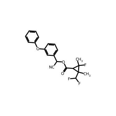 CC1(F)C(C(=O)OC(C#N)c2cccc(Oc3ccccc3)c2)C1(C)C(F)F